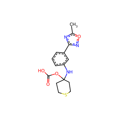 Cc1nc(-c2cccc(NC3(OC(=O)O)CCSCC3)c2)no1